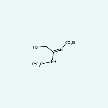 CCOC(=O)/N=C(\CS)NC(=O)OCC